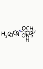 COc1ccc(/C=C/C(=O)c2c(C)c3ccsc3[nH]c2=O)nc1